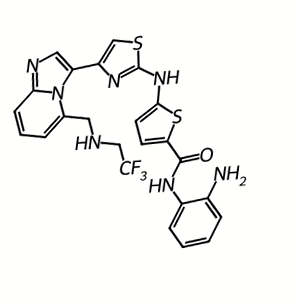 Nc1ccccc1NC(=O)c1ccc(Nc2nc(-c3cnc4cccc(CNCC(F)(F)F)n34)cs2)s1